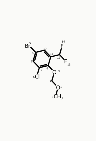 COCOc1c(Cl)cc(Br)cc1C(F)F